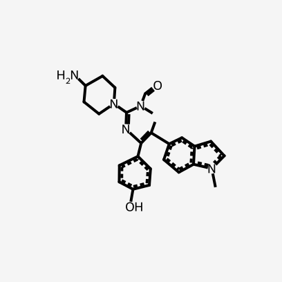 C/C(=C(\N=C(/N(C)C=O)N1CCC(N)CC1)c1ccc(O)cc1)c1ccc2c(ccn2C)c1